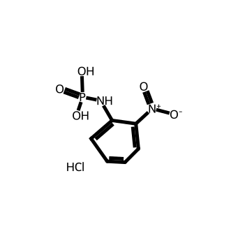 Cl.O=[N+]([O-])c1ccccc1NP(=O)(O)O